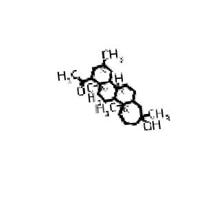 CC(=O)C1C[C@@H](C)CC2[C@@H]3CCC4CC(C)(O)CCC[C@]4(C)C3CC[C@]12C